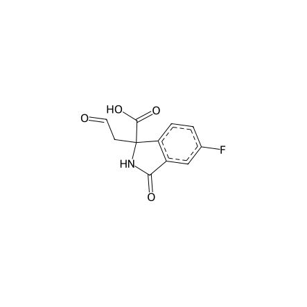 O=CCC1(C(=O)O)NC(=O)c2cc(F)ccc21